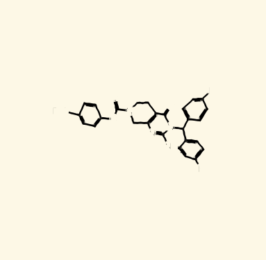 Nc1nc2c(c(=O)n1C(c1ccc(F)cc1)c1ccc(F)cc1)CCN(C(=O)Oc1ccc(C(F)(F)F)cc1)C2